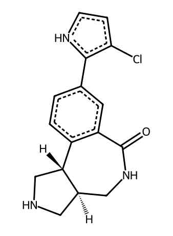 O=C1NC[C@H]2CNC[C@@H]2c2ccc(-c3[nH]ccc3Cl)cc21